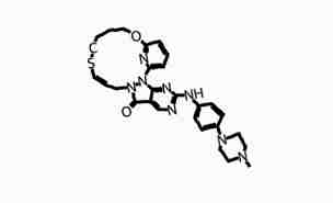 CN1CCN(c2ccc(Nc3ncc4c(=O)n5n(c4n3)-c3cccc(n3)OCCCCS/C=C\C5)cc2)CC1